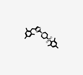 Cc1cc(C)c(Cc2csc(N3CCC(S(=O)(=O)c4c(C)cc(C)cc4C)CC3)n2)c(C)c1